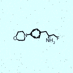 N[C@H](CF)Cc1ccc(N2CCOCC2)cc1